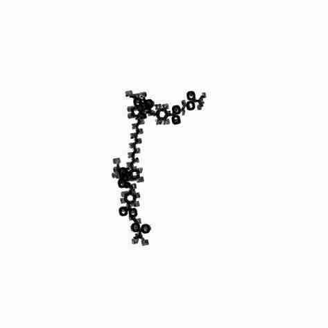 C=C(C)C(=O)OCCOC(=O)c1ccc(CSC2(P(C)(=O)OCC)SC3(CCCCCCCCCCC45C=CC(C4)C(SCc4ccc(C(=O)OCCOC(=O)C(=C)C)cc4)(P(C)(=O)OCC)S5)C=CC2C3)cc1